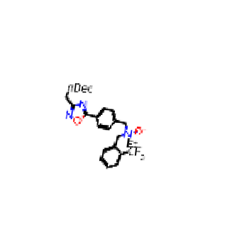 CCCCCCCCCCCc1noc(-c2ccc(C[N+]([O-])(CC)Cc3ccccc3C(F)(F)F)cc2)n1